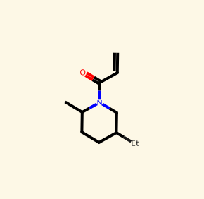 C=CC(=O)N1CC(CC)CCC1C